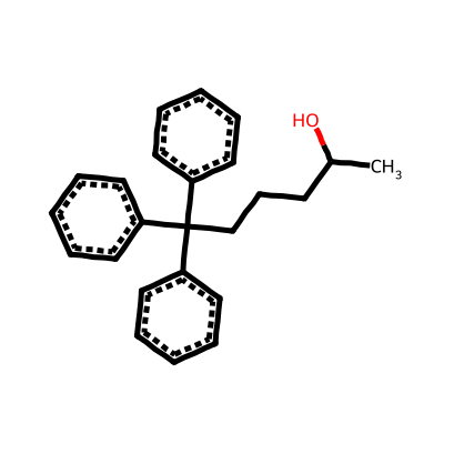 CC(O)CCCC(c1ccccc1)(c1ccccc1)c1ccccc1